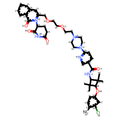 CC1(C)C(NC(=O)c2ccc(N3CCN(CCOCCOCc4cc5ccccc5c(=O)n4C4CCC(=O)NC4=O)CC3)nc2)C(C)(C)C1Oc1ccc(C#N)c(Cl)c1